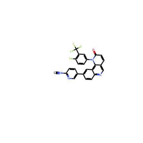 [C-]#[N+]c1ccc(-c2ccc3ncc4ccc(=O)n(-c5ccc(F)c(C(F)(F)F)c5)c4c3c2)cn1